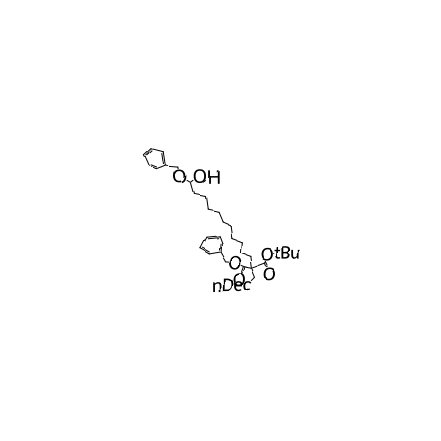 CCCCCCCCCCCC(CCCCCCCCCCC(O)OCc1ccccc1)(C(=O)OCc1ccccc1)C(=O)OC(C)(C)C